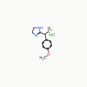 COc1ccc(C(C)C2=NCCN2)cc1.Cl